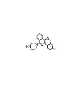 O=c1c2ccccc2c(N2CCCNCC2)nn1-c1ccc(F)cc1F